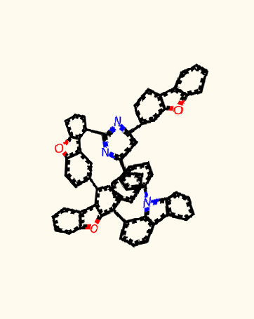 c1ccc(-c2cc(-c3ccc4c(c3)oc3ccccc34)nc(-c3cccc4oc5ccc(-c6ccc(-c7cccc8c9ccccc9n(-c9ccccc9)c78)c7oc8ccccc8c67)cc5c34)n2)cc1